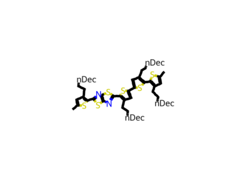 CCCCCCCCCCCCc1cc(C)sc1-c1nc2sc(-c3sc(-c4cc(CCCCCCCCCCCC)c(-c5sc(C)cc5CCCCCCCCCCCC)s4)cc3CCCCCCCCCCCC)nc2s1